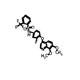 COc1ccc2c(Oc3ccc(NS(=O)(=O)c4ccccc4C(F)(F)F)cc3F)ccnc2c1OC